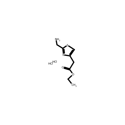 CCOC(=O)Cc1csc(CN)n1.Cl.Cl